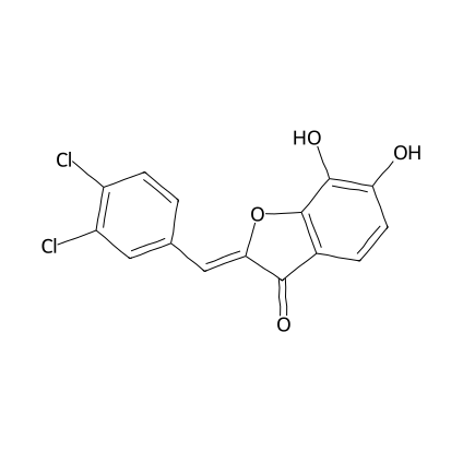 O=C1/C(=C/c2ccc(Cl)c(Cl)c2)Oc2c1ccc(O)c2O